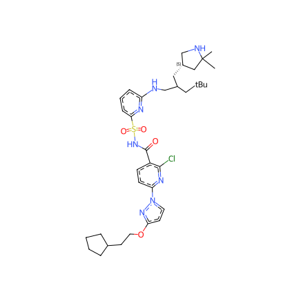 CC(C)(C)CC(CNc1cccc(S(=O)(=O)NC(=O)c2ccc(-n3ccc(OCCC4CCCC4)n3)nc2Cl)n1)C[C@@H]1CNC(C)(C)C1